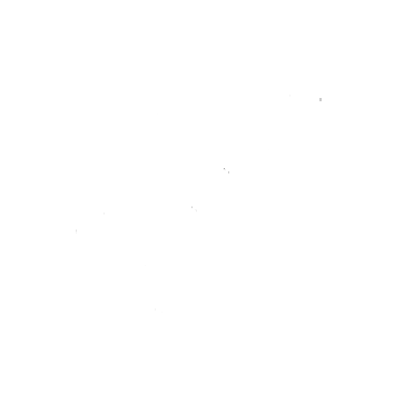 COCOc1cccc(Oc2cc(N3CCN(CC4=C(c5ccc(Cl)cc5)CC(C)(C)CC4)CC3)ccc2C(=O)O)c1